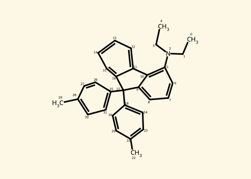 CCN(CC)c1cccc2c1-c1ccccc1C2(c1ccc(C)cc1)c1ccc(C)cc1